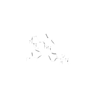 C=C1C=CN(c2cccc(S(=O)(=O)N(C)C)c2)N=C1C1CC=NN1c1cccc(F)c1